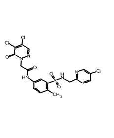 Cc1ccc(NC(=O)Cn2ncc(Cl)c(Cl)c2=O)cc1S(=O)(=O)NCc1ccc(Cl)cn1